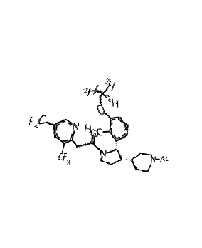 [2H]C([2H])([2H])Oc1cccc([C@@H]2[C@H](C3CCN(C(C)=O)CC3)CCN2C(=O)Cc2ncc(C(F)(F)F)cc2C(F)(F)F)c1C